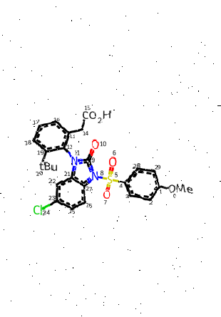 COc1ccc(S(=O)(=O)n2c(=O)n(-c3c(CC(=O)O)cccc3C(C)(C)C)c3cc(Cl)ccc32)cc1